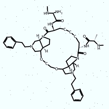 CN[C@@H](C)C(=O)N[C@H]1CCCCC[C@H](NC(=O)[C@H](N)NC)C(=O)N2CC[C@H]3C(CN(CCc4ccccc4)C[C@H]32)OCCOC2CN(CCc3ccccc3)C[C@@H]3[C@H]2CCN3C1=O